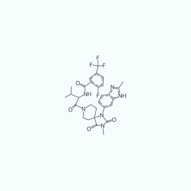 Cc1nc2ccc(N3C(=O)N(C)C(=O)C34CCN(C(=O)C(NC(=O)c3cc(C(F)(F)F)ccc3F)C(C)C)CC4)cc2[nH]1